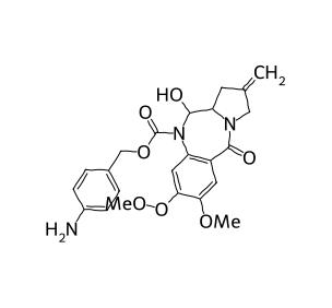 C=C1CC2C(O)N(C(=O)OCc3ccc(N)cc3)c3cc(OOC)c(OC)cc3C(=O)N2C1